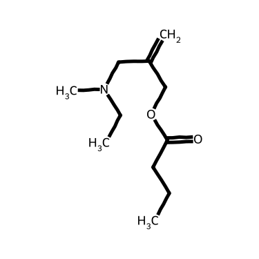 C=C(COC(=O)CCC)CN(C)CC